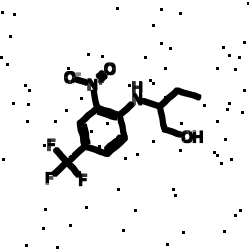 CCC(CO)Nc1ccc(C(F)(F)F)cc1[N+](=O)[O-]